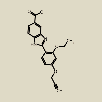 C#CCOc1ccc(-c2nc3cc(C(=O)O)ccc3[nH]2)c(OCC)c1